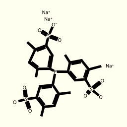 Cc1cc(C)c(S(=O)(=O)[O-])cc1P(c1cc(S(=O)(=O)[O-])c(C)cc1C)c1cc(S(=O)(=O)[O-])c(C)cc1C.[Na+].[Na+].[Na+]